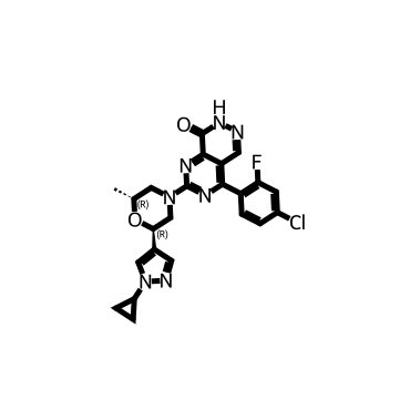 C[C@@H]1CN(c2nc(-c3ccc(Cl)cc3F)c3cn[nH]c(=O)c3n2)C[C@@H](c2cnn(C3CC3)c2)O1